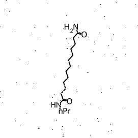 CCCNC(=O)CCCCCCCCCCCC(N)=O